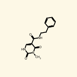 Cn1c(=O)[nH]cc(C(=O)NCCc2ccccc2)c1=O